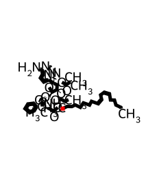 CCCCC/C=C\C/C=C\CCCCCCCCOC(=O)[C@H](C)N[P@](=O)(OC[C@H]1O[C@@](C#N)(c2ccc3c(N)ncnn23)[C@H](OC(=O)C(C)C)[C@@H]1OC(=O)C(C)C)Oc1ccccc1